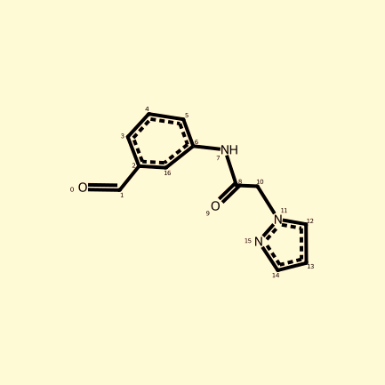 O=Cc1cccc(NC(=O)Cn2cccn2)c1